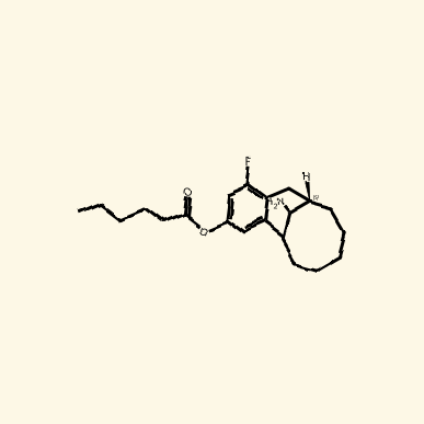 CCCCCC(=O)Oc1cc(F)c2c(c1)C1CCCCC[C@@H](C2)C1N